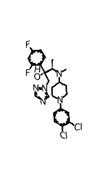 C[C@@H](N(C)C1CCN(c2ccc(Cl)c(Cl)c2)CC1)[C@](O)(Cn1cncn1)c1ccc(F)cc1F